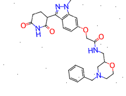 Cn1nc(C2CCC(=O)NC2=O)c2ccc(OCC(=O)NCC3CN(Cc4ccccc4)CCO3)cc21